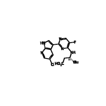 CC(C)(C)[C@H](CC(=O)O)Nc1nc(-c2c[nH]c3ncc(Cl)cc23)ncc1F